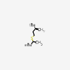 C=C(CCSC(C)CCCC)C(C)(C)C